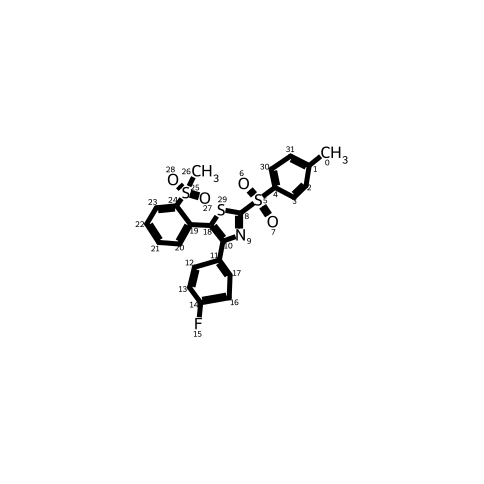 Cc1ccc(S(=O)(=O)c2nc(-c3ccc(F)cc3)c(-c3ccccc3S(C)(=O)=O)s2)cc1